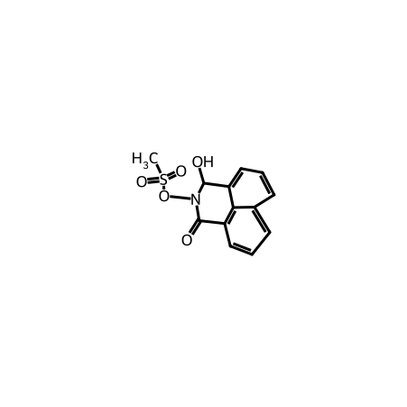 CS(=O)(=O)ON1C(=O)c2cccc3cccc(c23)C1O